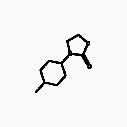 CC1CCC(N2CCOC2=O)CC1